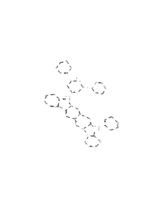 c1ccc(-c2cc(-n3c4ccccc4c4cc5cc6c7ccccc7n(-c7ccccc7)c6cc5cc43)cc(-c3ccccc3)n2)cc1